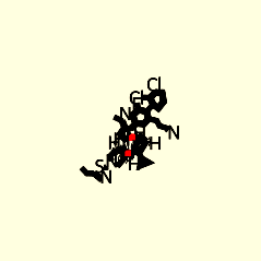 CCc1cnc(N2C[C@@H]3C[C@H](C2)N(C(=O)C2CC2)[C@H]3c2cc3c(C)nc4c(F)c(-c5cccc(Cl)c5Cl)c(CCC#N)cc4c3n2[C@H]2[C@H]3CN[C@@H]2C3)s1